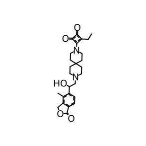 CCc1c(N2CCC3(CCN(CC(O)c4ccc5c(c4C)COC5=O)CC3)CC2)c(=O)c1=O